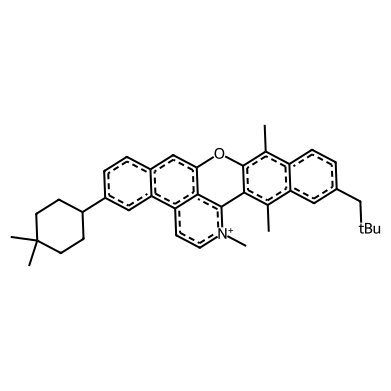 Cc1c2c(c(C)c3cc(CC(C)(C)C)ccc13)-c1c3c(cc4ccc(C5CCC(C)(C)CC5)cc4c3cc[n+]1C)O2